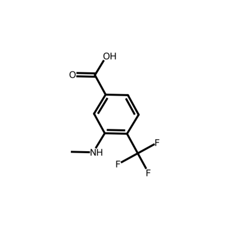 CNc1cc(C(=O)O)ccc1C(F)(F)F